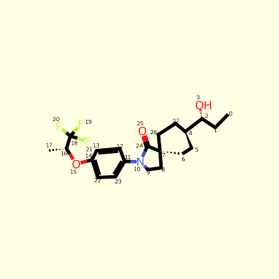 CC[C@@H](O)[C@H]1CC[C@@]2(CCN(c3ccc(O[C@H](C)C(F)(F)F)cc3)C2=O)CC1